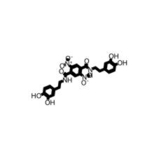 O=C(NCCc1ccc(O)c(O)c1)c1cc([N+](=O)[O-])c(C(=O)NCCc2ccc(O)c(O)c2)cc1[N+](=O)[O-]